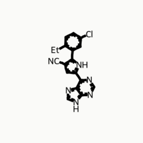 CCc1ccc(Cl)cc1-c1[nH]c(-c2ncnc3[nH]cnc23)cc1C#N